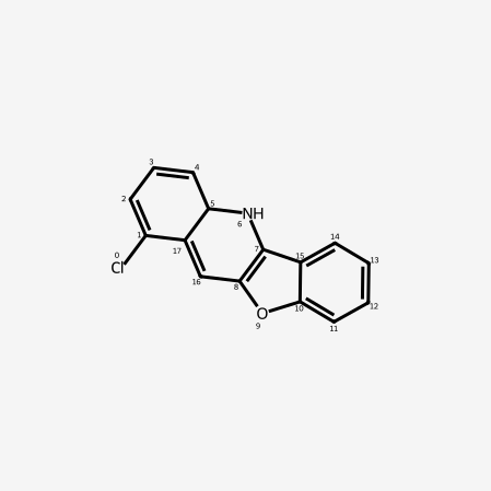 ClC1=CC=CC2Nc3c(oc4ccccc34)C=C12